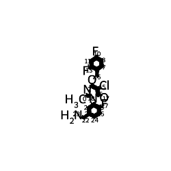 Cc1nc(OCc2ccc(F)cc2F)c(Cl)c(=O)n1-c1cc(CN)ccc1F